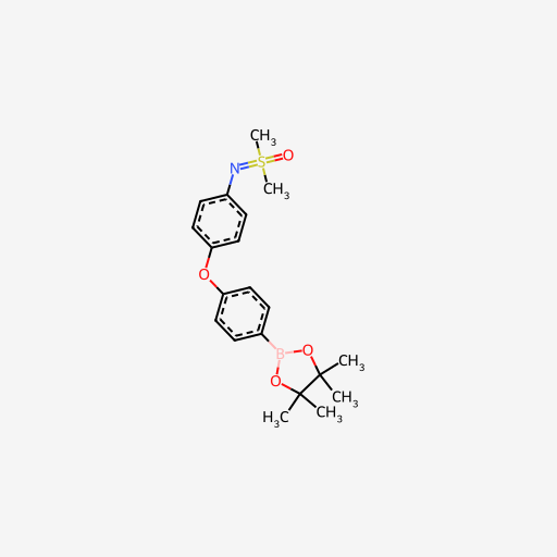 CC1(C)OB(c2ccc(Oc3ccc(N=S(C)(C)=O)cc3)cc2)OC1(C)C